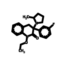 CCON1C(=O)C(c2cccc(F)c2)(N2CCCC2C)Cc2ccccc21